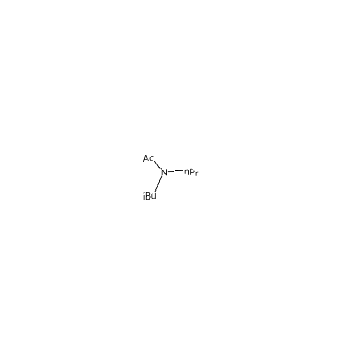 CCCN(C(C)=O)C(C)CC